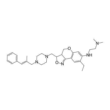 CCc1cc2c(cc1NCCN(C)C)OCC1C2=NOC1CN1CCN(C/C(C)=C/c2ccccc2)CC1